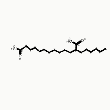 CCCCCCC(CCCCCCCCCCC(=O)O)C(=O)O